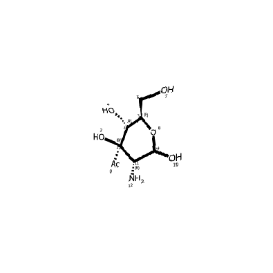 CC(=O)[C@]1(O)[C@H](O)[C@@H](CO)OC(O)[C@@H]1N